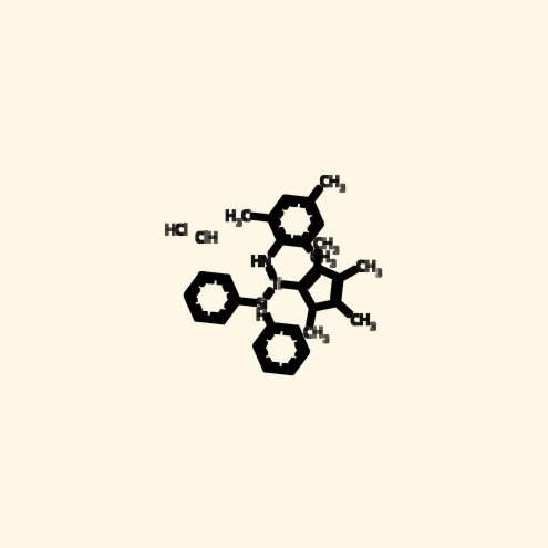 CC1=C(C)C(C)[C]([Ti]([NH]c2c(C)cc(C)cc2C)[SiH](c2ccccc2)c2ccccc2)=C1C.Cl.Cl